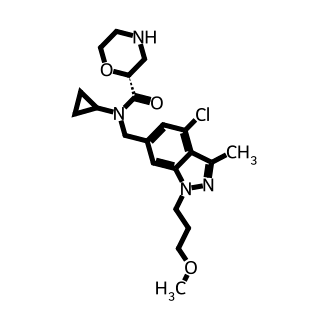 COCCCn1nc(C)c2c(Cl)cc(CN(C(=O)[C@H]3CNCCO3)C3CC3)cc21